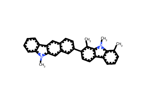 Cc1cccc2c3ccc(-c4ccc5cc6c7ccccc7n(C)c6cc5c4)c(C)c3n(C)c12